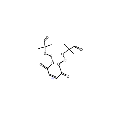 CC(C)(C=O)OOOC(=O)/C=C\C(=O)OOOC(C)(C)C=O